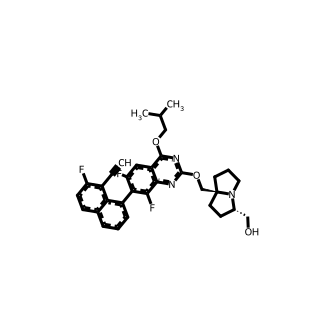 C#Cc1c(F)ccc2cccc(-c3c(F)cc4c(OCC(C)C)nc(OC[C@@]56CCCN5[C@H](CO)CC6)nc4c3F)c12